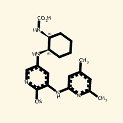 Cc1cc(C)nc(Nc2cc(N[C@@H]3CCCC[C@@H]3NC(=O)O)cnc2C#N)c1